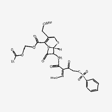 CCC(=O)OCOC(=O)C1=C(COC)CS[C@@H]2C(NC(=O)/C(=N\OC)C(=O)COS(=O)(=O)c3ccccc3)C(=O)N12